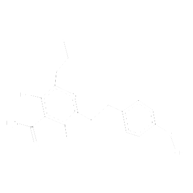 CCCc1nc(CCc2ccc(OC)cc2)c(C)c(C(N)=O)c1O